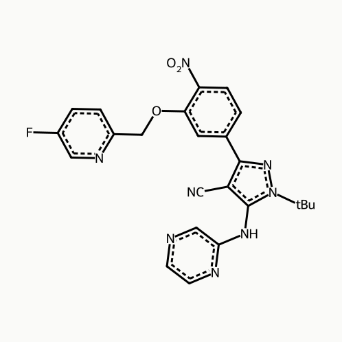 CC(C)(C)n1nc(-c2ccc([N+](=O)[O-])c(OCc3ccc(F)cn3)c2)c(C#N)c1Nc1cnccn1